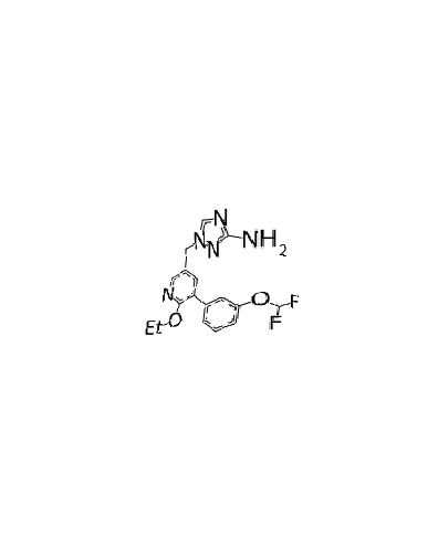 CCOc1ncc(Cn2cnc(N)n2)cc1-c1cccc(OC(F)F)c1